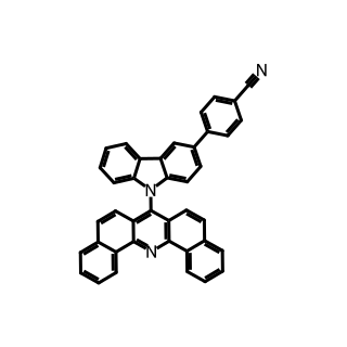 N#Cc1ccc(-c2ccc3c(c2)c2ccccc2n3-c2c3ccc4ccccc4c3nc3c2ccc2ccccc23)cc1